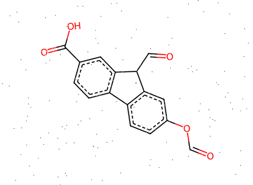 O=COc1ccc2c(c1)C(C=O)c1cc(C(=O)O)ccc1-2